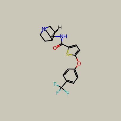 O=C(N[C@H]1CN2CCC1CC2)c1ccc(Oc2ccc(C(F)(F)F)cc2)s1